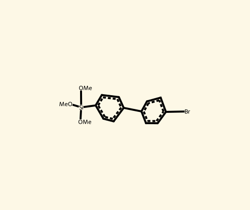 CO[Si](OC)(OC)c1ccc(-c2ccc(Br)cc2)cc1